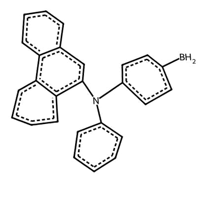 Bc1ccc(N(c2ccccc2)c2cc3ccccc3c3ccccc23)cc1